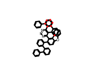 c1ccc(-c2ccccc2-c2ccccc2-c2ccc3oc4ccccc4c3c2-c2nnnc(-c3ccccc3-c3ccccc3)c2-c2ccccc2-c2ccccc2)cc1